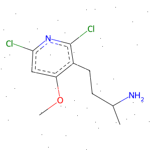 COc1cc(Cl)nc(Cl)c1CCC(C)N